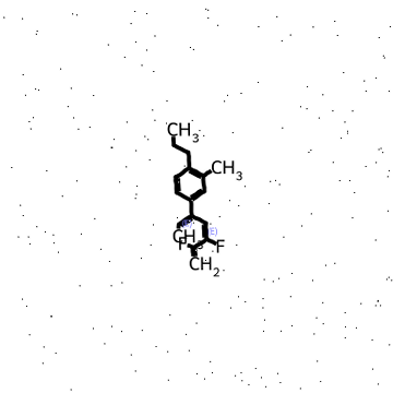 C=C(F)/C(F)=C\C(=C/C)c1ccc(CCC)c(C)c1